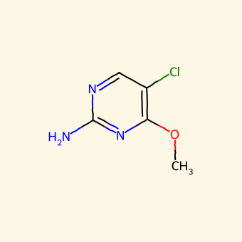 COc1nc(N)ncc1Cl